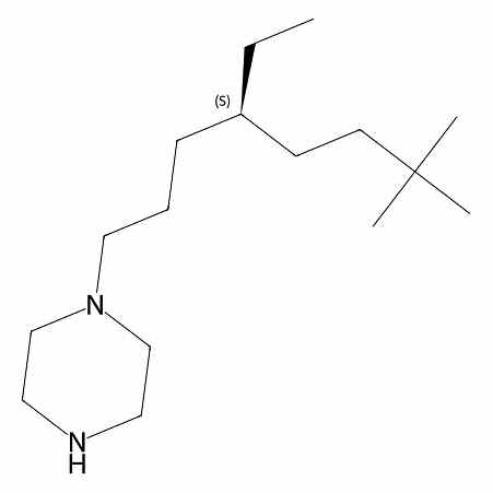 CC[C@H](CCCN1CCNCC1)CCC(C)(C)C